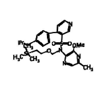 COc1nc(C)cnc1N(COCC[Si](C)(C)C)S(=O)(=O)c1cnccc1-c1ccc(CC(C)C)cc1